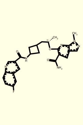 C[C@@H](CC1CC(NC(=O)c2cnc3ccc(F)cc3c2)C1)Oc1nc2c(cnn2C)cc1C(N)=O